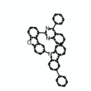 c1ccc(-c2ccc3c(c2)c2ccccc2n3-c2ccc3oc4cccc(-c5nc(-c6ccccc6)c6ccccc6n5)c4c3c2)cc1